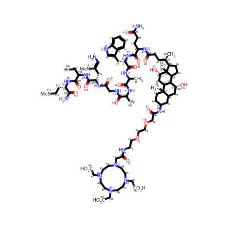 CN/C(=C\N)C[C@H](NC(=O)CNC(=O)C(NC(=O)C(C)NC(=O)[C@H](Cc1c[nH]c2ccccc12)NC(=O)C(CCC(N)=O)NC(=O)CC[C@@H](C)C1CCC2C3C(C[C@H](O)C21C)C1(C)CCC(NC(=O)COCCOCCNC(=O)CN2CCN(CC(=O)O)CCN(CC(=O)O)CCN(CC(=O)O)CC2)CC1C[C@H]3O)C(C)C)C(=O)NC(CC(C)C)C(=O)N[C@@H](CCSC)C(N)=O